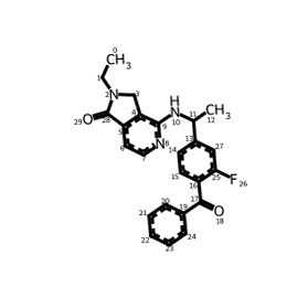 CCN1Cc2c(ccnc2NC(C)c2ccc(C(=O)c3ccccc3)c(F)c2)C1=O